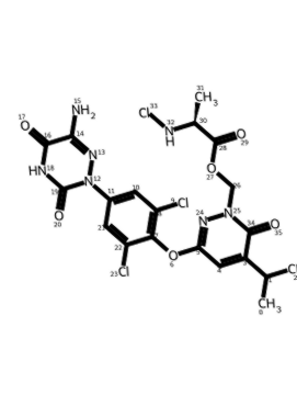 CC(C)c1cc(Oc2c(Cl)cc(-n3nc(N)c(=O)[nH]c3=O)cc2Cl)nn(COC(=O)[C@H](C)NCl)c1=O